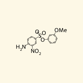 COc1cccc(OS(=O)(=O)c2ccc(N)c([N+](=O)[O-])c2)c1